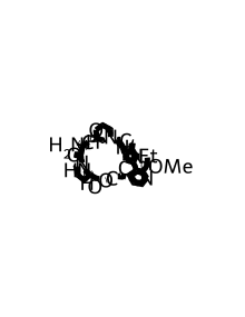 CCn1c(-c2cccnc2[C@H](C)OC)c2c3nc(ccc31)N1CCO[C@@H](C[C@H](N)C(=O)N3CCC[C@H](N3)C(=O)OCC(C)(C)C2)C1